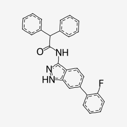 O=C(Nc1n[nH]c2cc(-c3ccccc3F)ccc12)C(c1ccccc1)c1ccccc1